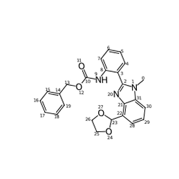 Cn1c(-c2ccccc2NC(=O)OCc2ccccc2)nc2c(C3OCCO3)cccc21